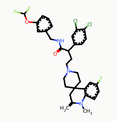 C=C1CC2(CCN(CCC(C(=O)NCc3cccc(OC(F)F)c3)c3ccc(Cl)c(Cl)c3)CC2)c2cc(F)ccc2N1C